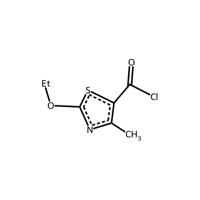 CCOc1nc(C)c(C(=O)Cl)s1